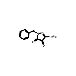 COC1=NN(Cc2ccccc2)C(=O)C1=O